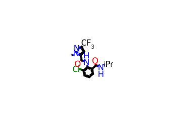 CC(C)NC(=O)c1cccc(Cl)c1NC(=O)c1cc(C(F)(F)F)nn1C